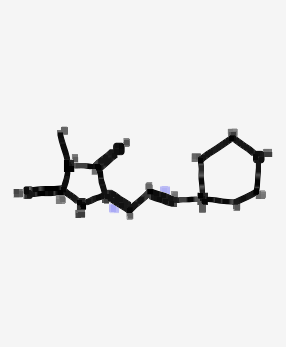 CN1C(=O)/C(=C\C=C\N2CCOCC2)SC1=S